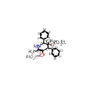 CCOC(=O)OC1=C(C)NC(c2ccccc2)C(C#N)(OC(=O)OCC)C1c1ccccc1